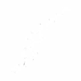 CCCCCCOc1ccc([C@H]2CC[C@H](CCC)CC2)cc1